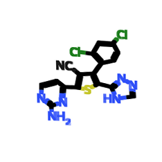 N#Cc1c(-c2ccnc(N)n2)sc(-c2nnc[nH]2)c1-c1ccc(Cl)cc1Cl